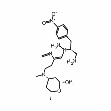 C=N/C(=C\N(N)[C@H](CN)Cc1ccc([N+](=O)[O-])cc1)CCN(C)[C@H]1C[C@@H](C)O[C@@H](O)C1